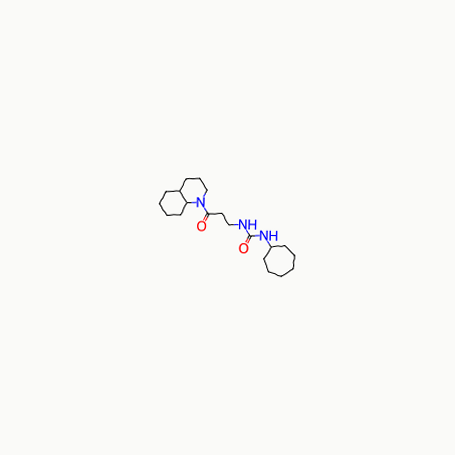 O=C(NCCC(=O)N1CCCC2CCCCC21)NC1CCCCCC1